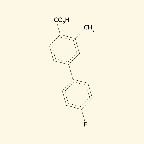 Cc1cc(-c2ccc(F)cc2)ccc1C(=O)O